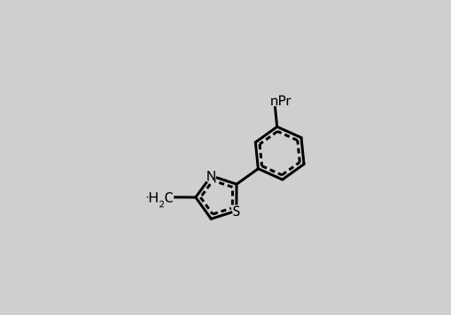 [CH2]c1csc(-c2cccc(CCC)c2)n1